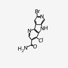 NC(=O)c1cnc2c([nH]c3cnc(Br)cc32)c1Cl